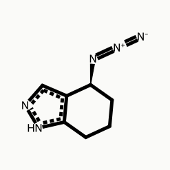 [N-]=[N+]=N[C@H]1CCCc2[nH]ncc21